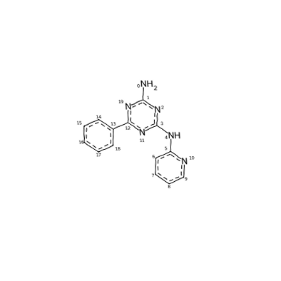 Nc1nc(Nc2ccccn2)nc(-c2ccccc2)n1